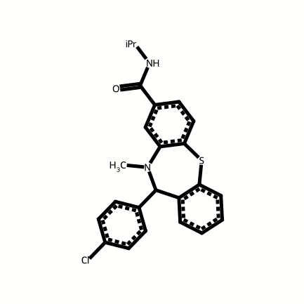 CC(C)NC(=O)c1ccc2c(c1)N(C)C(c1ccc(Cl)cc1)c1ccccc1S2